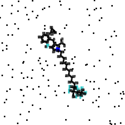 CC(C)c1c(Cc2c(F)cccc2C2CC2)ccn1CCCCCCCCCCCC(F)(F)[C@@](C)(F)C(F)(F)C(F)(F)F